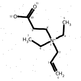 C=CC[N+](CC)(CC)CCC(=O)[O-]